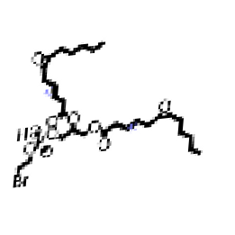 CCCCCC1OC1C/C=C/CC(=O)OCC(COP(=O)(O)OCCBr)OC(=O)C/C=C/CC1OC1CCCCC